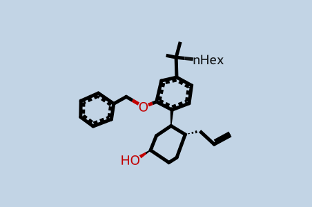 C=CC[C@@H]1CC[C@@H](O)C[C@H]1c1ccc(C(C)(C)CCCCCC)cc1OCc1ccccc1